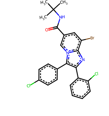 CC(C)(C)NC(=O)c1cc(Br)c2nc(-c3ccccc3Cl)c(-c3ccc(Cl)cc3)n2c1